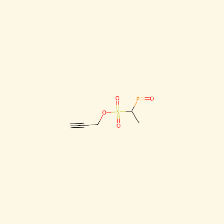 C#CCOS(=O)(=O)C(C)P=O